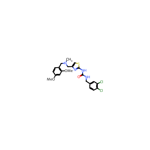 COc1ccc(CN(C)Cc2csc(NC(=O)NCc3ccc(Cl)c(Cl)c3)n2)c(OC)c1